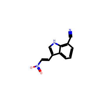 N#Cc1cccc2c(C=C[N+](=O)[O-])c[nH]c12